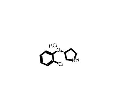 Cl.Clc1ccccc1O[C@H]1CCNC1